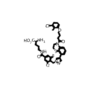 Cc1c(Cl)cccc1OCCCC(=O)N1CCSc2c(-c3cnn(Cc4c(F)cc(C(=O)NCCC[C@H](N)C(=O)O)cc4Cl)c3)cccc21